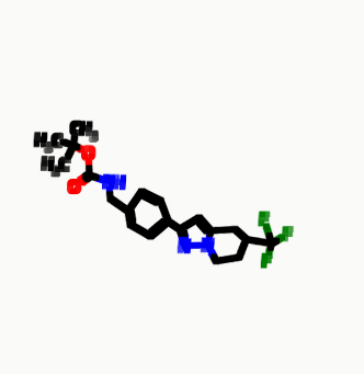 CC(C)(C)OC(=O)NCc1ccc(-c2cc3n(n2)CCC(C(F)(F)F)C3)cc1